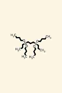 CCCCO[Si](CCC)(CCC[Si](CCC)(OCCCC)OCCCC)OCCCC